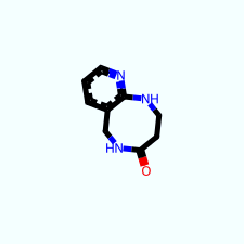 O=C1CCNc2ncccc2CN1